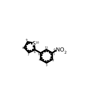 O=[N+]([O-])c1cccc(-c2cccs2)c1